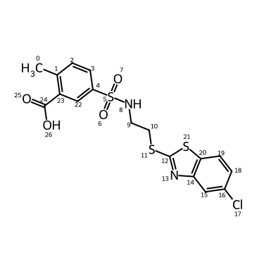 Cc1ccc(S(=O)(=O)NCCSc2nc3cc(Cl)ccc3s2)cc1C(=O)O